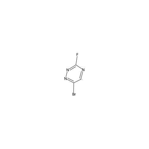 Fc1n[c]c(Br)nn1